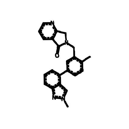 Cc1ccc(-c2cccc3nn(C)cc23)cc1CN1Cc2ncccc2C1=O